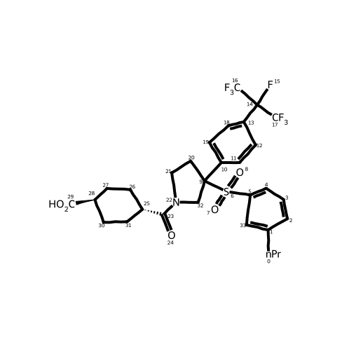 CCCc1cccc(S(=O)(=O)C2(c3ccc(C(F)(C(F)(F)F)C(F)(F)F)cc3)CCN(C(=O)[C@H]3CC[C@H](C(=O)O)CC3)C2)c1